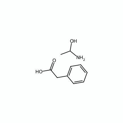 CC(N)O.O=C(O)Cc1ccccc1